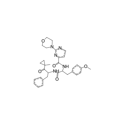 COc1ccc(CC(NC(=O)c2ccnc(N3CCOCC3)n2)C(=O)NC(Cc2ccccc2)C(=O)C2(C)CC2)cc1